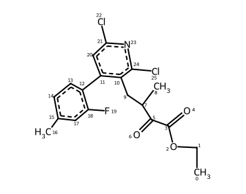 CCOC(=O)C(=O)C(C)Cc1c(-c2ccc(C)cc2F)cc(Cl)nc1Cl